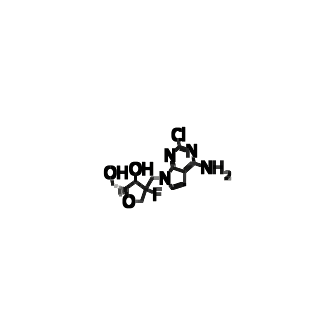 Nc1nc(Cl)nc2c1ccn2CC1(F)CO[C@H](CO)C1O